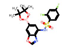 CC1(C)OB(c2cc(NS(=O)(=O)c3ccc(F)cc3F)c3ncoc3c2)OC1(C)C